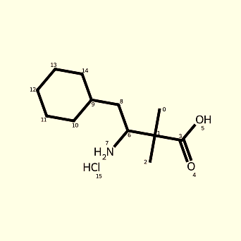 CC(C)(C(=O)O)C(N)CC1CCCCC1.Cl